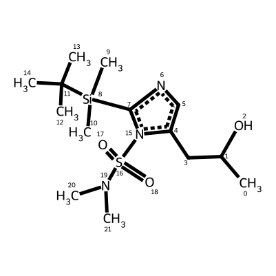 CC(O)Cc1cnc([Si](C)(C)C(C)(C)C)n1S(=O)(=O)N(C)C